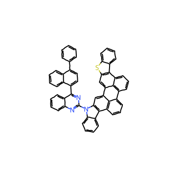 c1ccc(-c2ccc(-c3nc(-n4c5ccccc5c5c6cccc7c8cccc9c%10c(cc(c(cc54)c76)c89)sc4ccccc4%10)nc4ccccc34)c3ccccc23)cc1